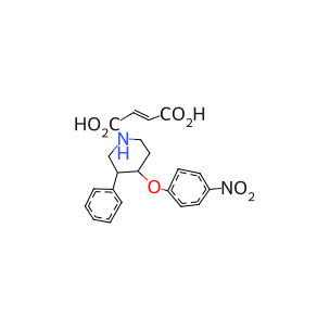 O=C(O)C=CC(=O)O.O=[N+]([O-])c1ccc(OC2CCNCC2c2ccccc2)cc1